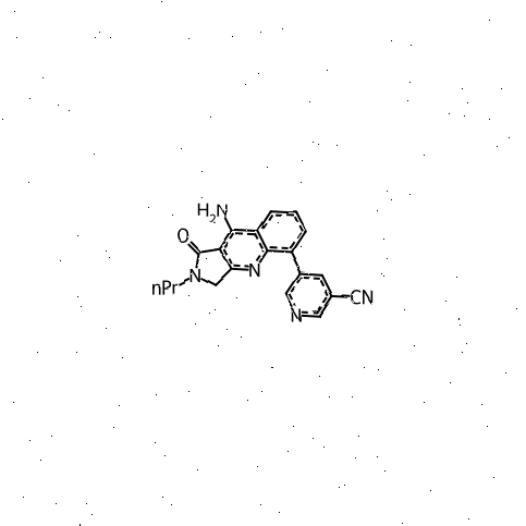 CCCN1Cc2nc3c(-c4cncc(C#N)c4)cccc3c(N)c2C1=O